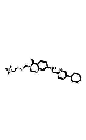 C[Si](C)(C)CCOCn1cnc2cc(NCc3ccc(C4CCCCC4)cn3)ccc2c1=O